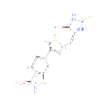 O=C1NC(=S)N/C1=C/c1cc(-c2ccc3c(c2)CNC3=O)cs1